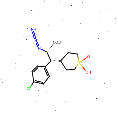 N=[N+]=N[C@H](C(=O)O)[C@@H](c1ccc(Cl)cc1)C1CCS([O-])(O)CC1